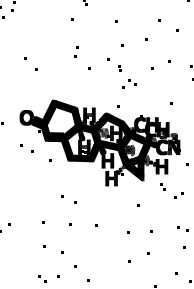 C[C@]1(C#N)[C@H]2C[C@H]2[C@H]2[C@@H]3CCC4=CC(=O)CC[C@@H]4[C@H]3CC[C@@]21C